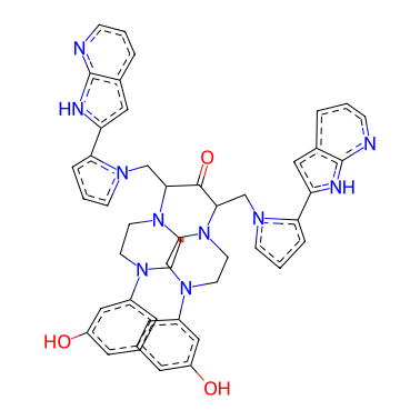 O=C(C(Cn1cccc1-c1cc2cccnc2[nH]1)N1CCN(c2cccc(O)c2)CC1)C(Cn1cccc1-c1cc2cccnc2[nH]1)N1CCN(c2cccc(O)c2)CC1